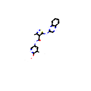 COc1ncc(NC(=O)c2c(C)nsc2Nc2cnc3ccccc3n2)cc1C